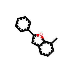 Cc1cccc2cc(-c3ccccc3)oc12